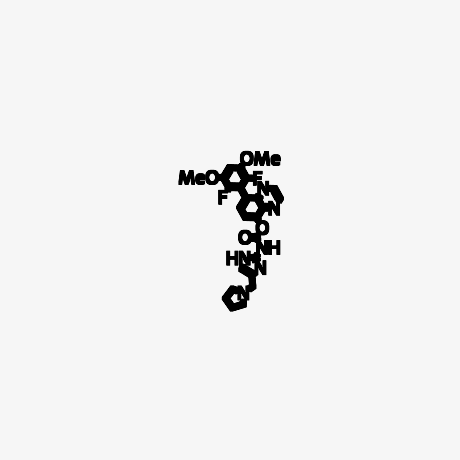 COc1cc(OC)c(F)c(-c2ccc(OC(=O)Nc3nc(CN4CCCC4)c[nH]3)c3nccnc23)c1F